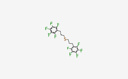 Fc1c(F)c(F)c(CCCSCCCc2c(F)c(F)c(F)c(F)c2F)c(F)c1F